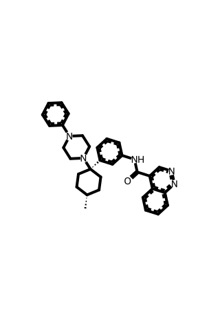 C[C@H]1CC[C@](c2cccc(NC(=O)c3cnnc4ccccc34)c2)(N2CCN(c3ccccc3)CC2)CC1